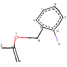 C=C(C)OCc1ccccc1I